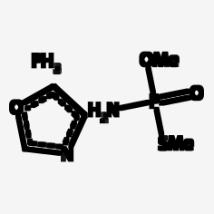 COP(N)(=O)SC.P.c1cocn1